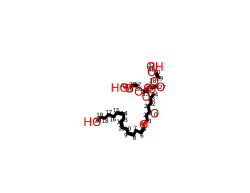 O=C(CCO/C=C\C/C=C\C/C=C\C/C=C\CCCCO)CCC(COC(=O)O/C=C\OO)OC(=O)O/C=C\OO